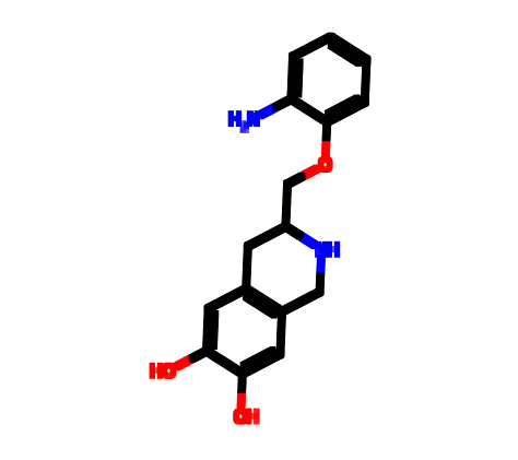 Nc1ccccc1OCC1Cc2cc(O)c(O)cc2CN1